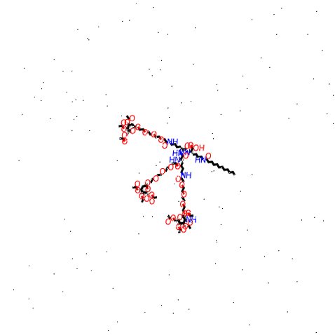 CCCCCCCCCCCC(=O)NCCCC[C@H](NC(=O)[C@H](CCCCNC(=O)COCCOCCOCCO[C@H]1C[C@@H](OC(C)=O)[C@@H](OC(C)=O)[C@@H](COC(C)=O)O1)NC(=O)[C@H](CCCCNC(=O)COCCOCCOCCO[C@@H]1O[C@H](COC(C)=O)[C@H](OC(C)=O)[C@H](OC(C)=O)[C@H]1NC(C)=O)NC(=O)COCCOCCOCCO[C@H]1C[C@@H](OC(C)=O)[C@@H](OC(C)=O)[C@@H](COC(C)=O)O1)C(=O)O